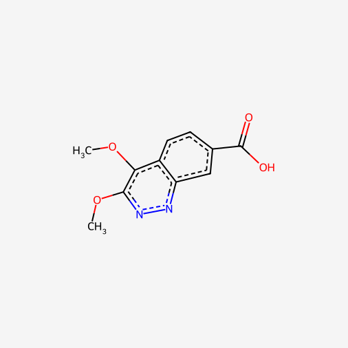 COc1nnc2cc(C(=O)O)ccc2c1OC